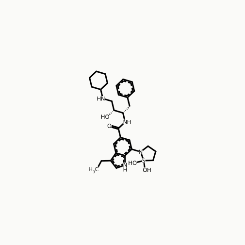 CCc1c[nH]c2c(N3CCCS3(O)O)cc(C(=O)N[C@@H](Cc3ccccc3)[C@H](O)CNC3CCCCC3)cc12